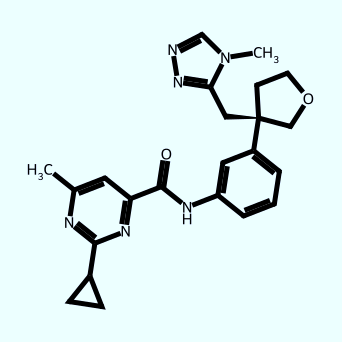 Cc1cc(C(=O)Nc2cccc([C@]3(Cc4nncn4C)CCOC3)c2)nc(C2CC2)n1